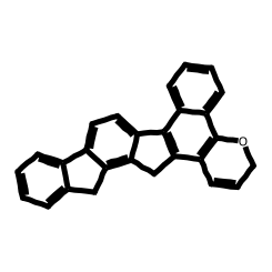 C1=Cc2c3c(c4ccccc4c2OC1)-c1ccc2c(c1C3)Cc1ccccc1-2